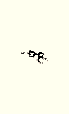 COc1ccc(-c2csc(C(F)(F)F)c2CO)cn1